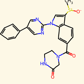 C[S+]([O-])c1cn(-c2ncc(-c3ccccc3)cn2)c2cc(C(=O)N3CCNC(=O)C3)ccc12